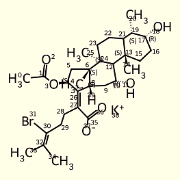 CC(=O)O[C@H]1C[C@@]2(C)[C@H](C[C@@H](O)C3[C@@]4(C)CC[C@@H](O)[C@@H](C)C4CC[C@@]32C)C1=C(CCC(Br)=C(C)C)C(=O)[O-].[K+]